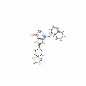 NC(=O)c1sc(C2CCC3(CC2)OCCS3)cc1NCc1ccnc2ccccc12